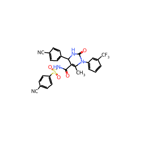 CC1=C(C(=O)NS(=O)(=O)c2ccc(C#N)cc2)C(c2ccc(C#N)cc2)NC(=O)N1c1cccc(C(F)(F)F)c1